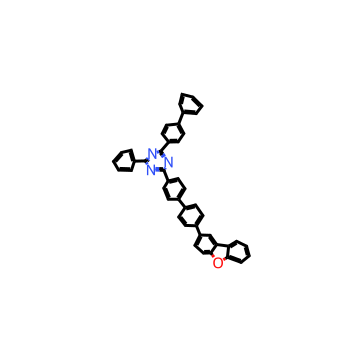 c1ccc(-c2ccc(-c3nc(-c4ccccc4)nc(-c4ccc(-c5ccc(-c6ccc7oc8ccccc8c7c6)cc5)cc4)n3)cc2)cc1